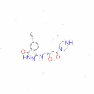 C#Cc1ccc2c(N(C)C[C@H](CC(=O)N3CCNCC3)OC)n[nH]c(=O)c2c1